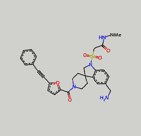 CNNC(=O)CS(=O)(=O)N1CC2(CCN(C(=O)c3ccc(C#Cc4ccccc4)o3)CC2)c2cc(CN)ccc21